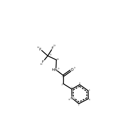 O=C([CH]c1ccccn1)NCC(F)(F)F